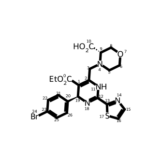 CCOC(=O)C1=C(CN2CCOC[C@H]2C(=O)O)NC(c2nccs2)=N[C@H]1c1ccc(Br)cc1